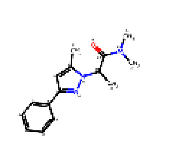 Cc1cc(-c2ccccc2)nn1C(C)C(=O)N(C)C